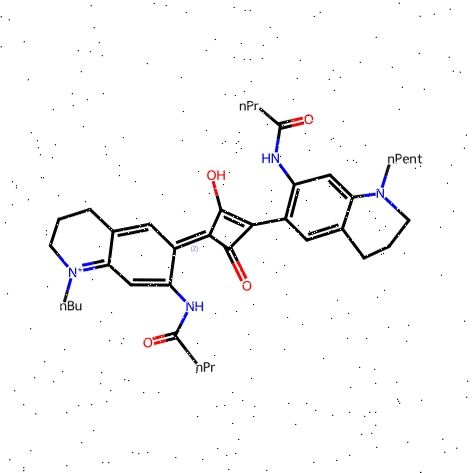 CCCCCN1CCCc2cc(C3=C(O)/C(=c4\cc5c(cc4NC(=O)CCC)=[N+](CCCC)CCC5)C3=O)c(NC(=O)CCC)cc21